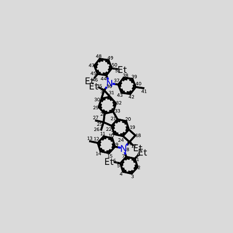 CCc1cccc(CC)c1N(c1ccc(C)cc1)C1(CC)Cc2cc3c(cc21)C(C)(C)c1cc2c(cc1-3)C2(CC)N(c1ccc(C)cc1)c1c(CC)cccc1CC